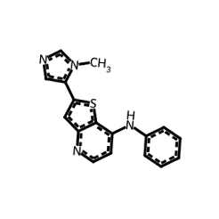 Cn1cncc1-c1cc2nccc(Nc3ccccc3)c2s1